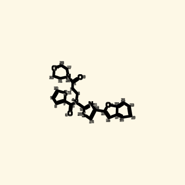 O=C(CCN(C(=O)c1cccs1)c1nc(-c2cc3ccccc3o2)cs1)N1CCOCC1